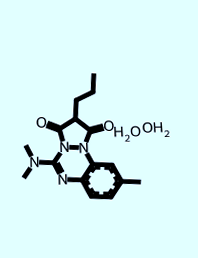 CCCC1C(=O)N2C(N(C)C)=Nc3ccc(C)cc3N2C1=O.O.O